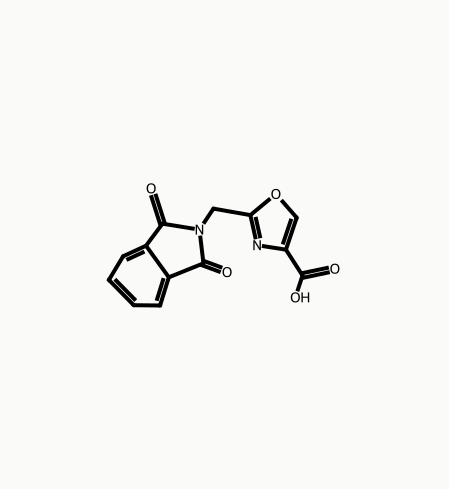 O=C(O)c1coc(CN2C(=O)c3ccccc3C2=O)n1